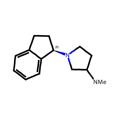 CNC1CCN([C@@H]2CCc3ccccc32)C1